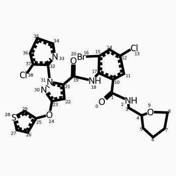 O=C(NCC1CCCCO1)c1cc(Cl)cc(Br)c1NC(=O)c1cc(Oc2ccsc2)nn1-c1ncccc1Cl